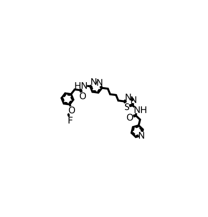 O=C(Cc1cccc(OCF)c1)Nc1ccc(CCCCc2nnc(NC(=O)Cc3cccnc3)s2)nn1